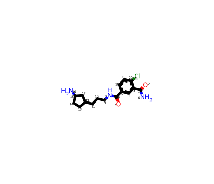 NC(=O)c1cc(C(=O)NCCCC2CCC(N)C2)ccc1Cl